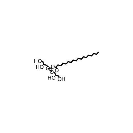 CCCCCCCCCCCCCCCCCC(=O)OB(OCC(O)CO)OCC(O)CO